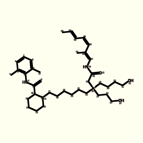 C=C(Nc1c(C)cccc1C)C1CCCCN1CCCCCC[N+](CCCO)(CCCCO)CC(=O)N/C=C(C)/C=C\C=C\C